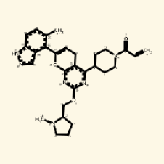 C=CC(=O)N1CCC(c2nc(OCC3CCCN3C)nc3c2CC=C(c2c(C)ccc4[nH]ncc24)O3)CC1